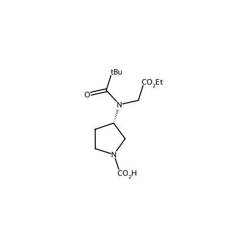 CCOC(=O)CN(C(=O)C(C)(C)C)[C@H]1CCN(C(=O)O)C1